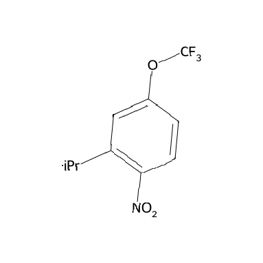 C[C](C)c1cc(OC(F)(F)F)ccc1[N+](=O)[O-]